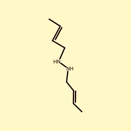 CC=CCNNC/C=C/C